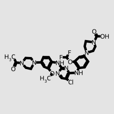 COc1cc(N2CCN(C(C)=O)CC2)ccc1Nc1ncc(Cl)c(Nc2ccc(N3CCN(C(=O)O)CC3)cc2OC(F)F)n1